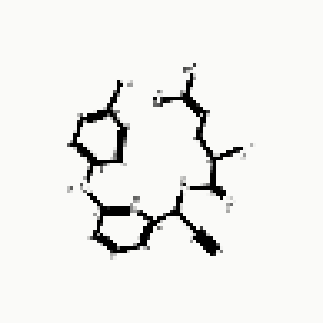 C#CC(OC(=O)C(CC=C(Cl)Cl)C(C)C)c1cccc(Oc2ccc(F)cc2)n1